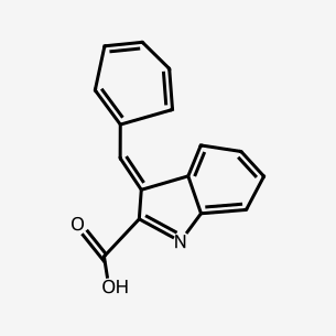 O=C(O)C1=Nc2ccccc2C1=Cc1ccccc1